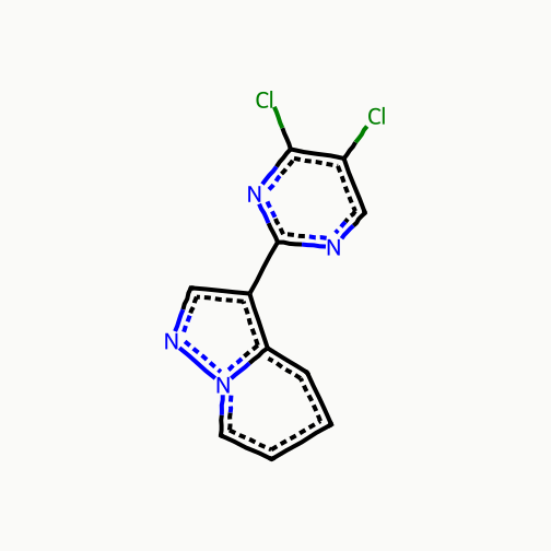 Clc1cnc(-c2cnn3ccccc23)nc1Cl